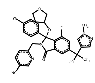 Cn1cc(C(C)(O)c2cc(F)c3c(c2)C(=O)N(Cc2ccc(C#N)cn2)[C@@]3(OC2CCOC2)c2ccc(Cl)cc2)cn1